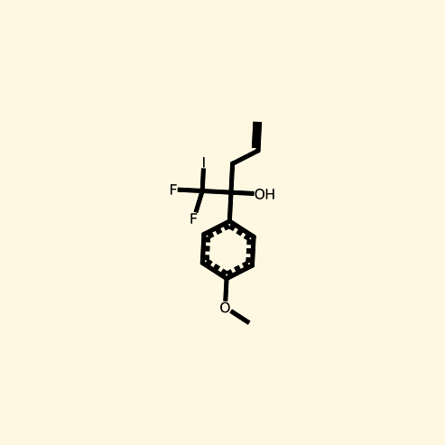 C=CCC(O)(c1ccc(OC)cc1)C(F)(F)I